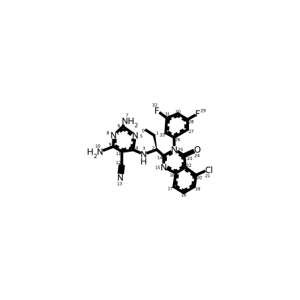 CC[C@H](Nc1nc(N)nc(N)c1C#N)c1nc2cccc(Cl)c2c(=O)n1-c1cc(F)cc(F)c1